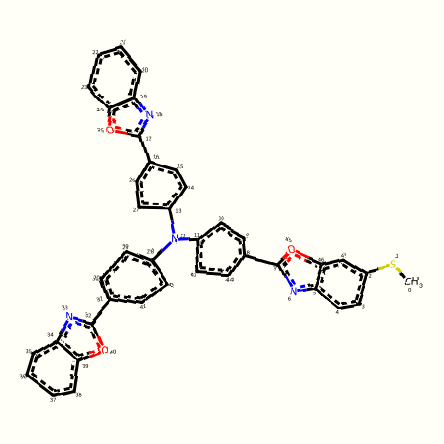 CSc1ccc2nc(-c3ccc(N(c4ccc(-c5nc6ccccc6o5)cc4)c4ccc(-c5nc6ccccc6o5)cc4)cc3)oc2c1